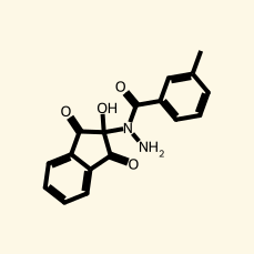 Cc1cccc(C(=O)N(N)C2(O)C(=O)c3ccccc3C2=O)c1